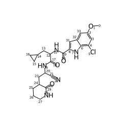 COc1cc(Cl)c2[nH]c(C(=O)NC(CC3CC3)C(=O)NC(C#N)CC3CCCNC3=O)cc2c1